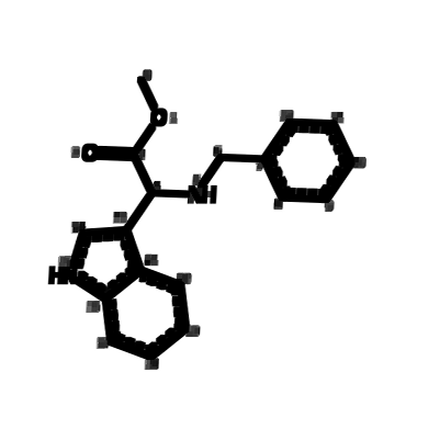 COC(=O)C(NCc1ccccc1)c1c[nH]c2ccccc12